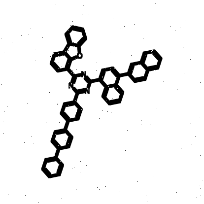 c1ccc(-c2ccc(-c3ccc(-c4nc(-c5ccc(-c6ccc7ccccc7c6)c6ccccc56)nc(-c5cccc6c5oc5ccccc56)n4)cc3)cc2)cc1